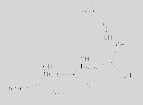 C=C(C)C(=O)O.C=C(C)C(=O)O.C=CC(=O)O.CCCCCC(O)O